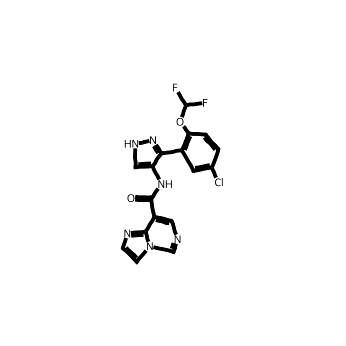 O=C(Nc1c[nH]nc1-c1cc(Cl)ccc1OC(F)F)c1cncn2ccnc12